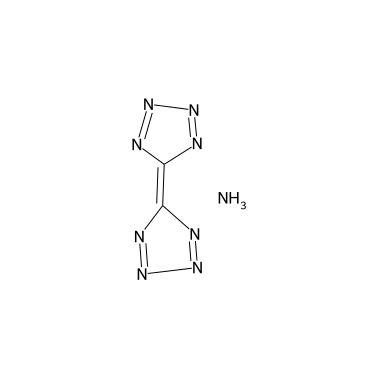 N.N1=NC(=C2N=NN=N2)N=N1